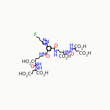 O=C(O)CC[C@H](NC(=O)NC(CCCCNC(=O)c1cc(C(=O)NCCCCC(NC(=O)N[C@@H](CCC(=O)O)C(=O)O)C(=O)O)cc(-n2cc(CCCF)nn2)c1)C(=O)O)C(=O)O